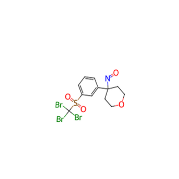 O=NC1(c2cccc(S(=O)(=O)C(Br)(Br)Br)c2)CCOCC1